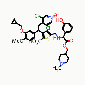 COc1ccc(C(Cc2c(Cl)c[n+]([O-])cc2Cl)c2cc(CNC(C(=O)OCC3CCN(C)CC3)c3cccc(O)c3)sc2C(=O)O)cc1OCC1CC1